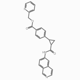 O=C(OCc1ccccn1)c1ccc(C2CC2C(=O)Nc2ccc3cnccc3c2)cc1